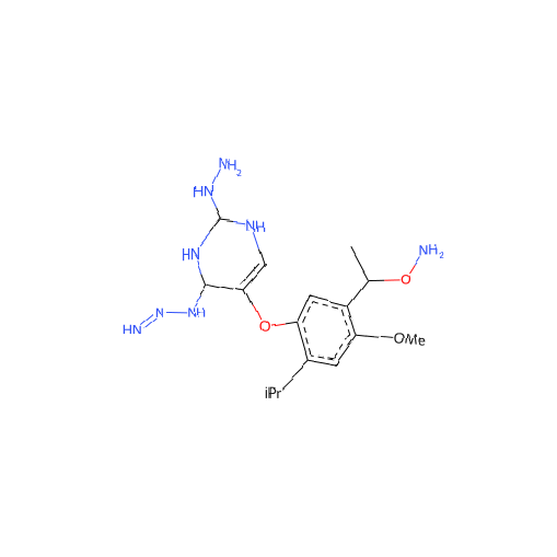 COc1cc(C(C)C)c(OC2=CNC(NN)NC2NN=N)cc1C(C)ON